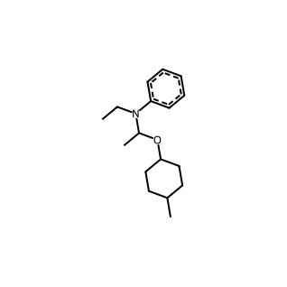 CCN(c1ccccc1)C(C)OC1CCC(C)CC1